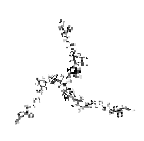 C=COC(=O)CCCCCOc1cccc(-c2noc(-c3cc(-c4nc(-c5cccc(OCCCCCOC(=O)C=C)c5)no4)cc(-c4nc(-c5cccc(OCCCCCOC(=O)C=C)c5)no4)c3)n2)c1